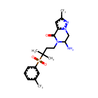 CC(C)(CCN1C(=O)c2cc(C(F)(F)F)nn2CC1N)S(=O)(=O)c1cccc(C(F)(F)F)c1